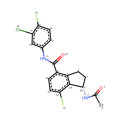 CCC(=O)N[C@H]1CCc2c(C(=O)Nc3ccc(F)c(Cl)c3)ccc(F)c21